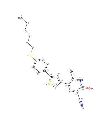 CCCCCCSc1ccc(-c2nc(-c3cc(C#N)c(=O)[nH]c3C)cs2)cc1